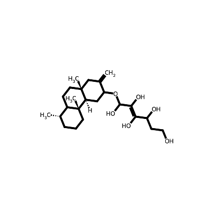 C=C1C[C@@]2(C)CCC3[C@@H](C)CCC[C@@]3(C)[C@@H]2CC1OC(O)/C(O)=C(\O)C(O)CCO